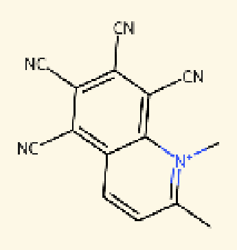 Cc1ccc2c(C#N)c(C#N)c(C#N)c(C#N)c2[n+]1C